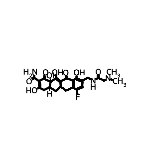 CN(C)CC(=O)NCc1cc(F)c2c(c1O)C(=O)C1=C(O)[C@]3(O)C(=O)C(C(N)=O)=C(O)C[C@@H]3CC1C2